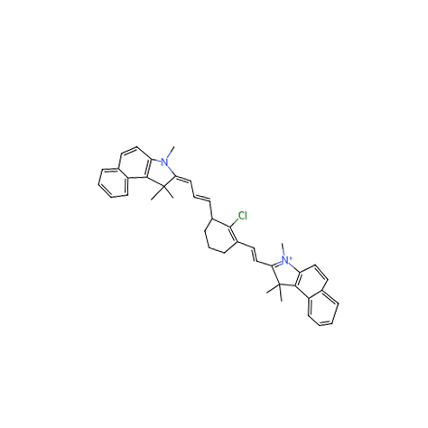 CN1/C(=C/C=C/C2CCCC(/C=C/C3=[N+](C)c4ccc5ccccc5c4C3(C)C)=C2Cl)C(C)(C)c2c1ccc1ccccc21